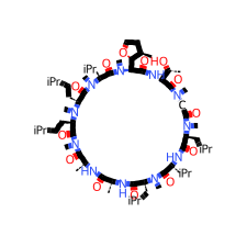 CC(C)CC[C@@H]1C(=O)N(C)C(=O)[C@@H](C)NC(=O)[C@@H](C)NC(=O)[C@@H](CC(C)C)N(C)C(=O)[C@@H](C(C)C)NC(=O)[C@H](CC(C)C)N(C)C(=O)CN(C)C(=O)[C@H]([C@@H](C)O)NC(=O)[C@H]([C@@H]2OCC[C@H]2C)N(C)C(=O)[C@@H](C(C)C)N(C)C(=O)[C@@H](CCC(C)C)N1C